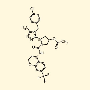 CC(=O)OC1C[C@H](c2nnc(C)n2Cc2ccc(Cl)cc2)N(C(=O)N[C@H]2CCOc3cc(C(F)(F)F)ccc32)C1